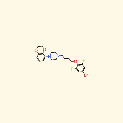 Fc1cc(Br)cc(F)c1OCCCCN1CCN(c2cccc3c2OCCO3)CC1